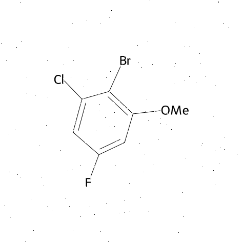 COc1cc(F)cc(Cl)c1Br